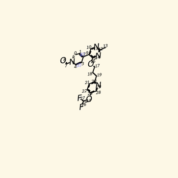 C/C=C(\C=C/N(C)C=O)c1cnc(C)nc1OCCCc1ccc(OC(F)F)cn1